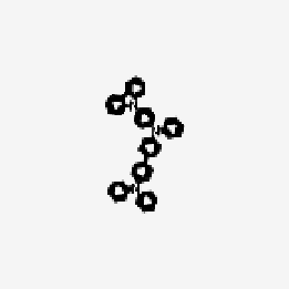 c1ccc(N(c2ccccc2)c2ccc(-c3ccc(N(c4ccccc4)c4ccc(-n5c6ccccc6c6ccccc65)cc4)cc3)cc2)cc1